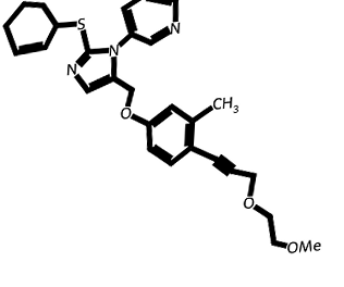 COCCOCC#Cc1ccc(OCc2cnc(SC3C=CCCC3)n2-c2cccnc2)cc1C